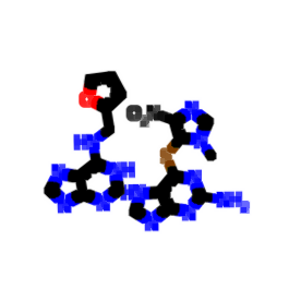 Cn1cnc([N+](=O)[O-])c1Sc1nc(N)nc2nc[nH]c12.c1coc(CNc2[nH]cnc3ncnc2-3)c1